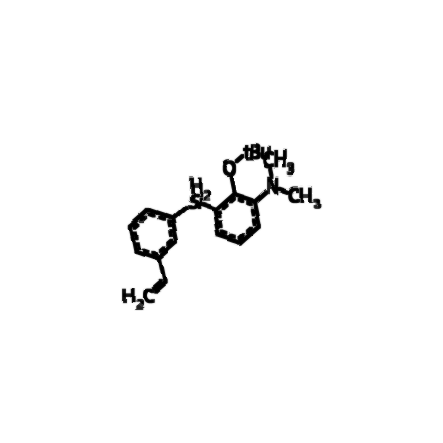 C=Cc1cccc([SiH2]c2cccc(N(C)C)c2OC(C)(C)C)c1